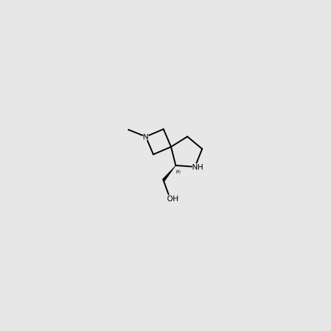 CN1CC2(CCN[C@H]2CO)C1